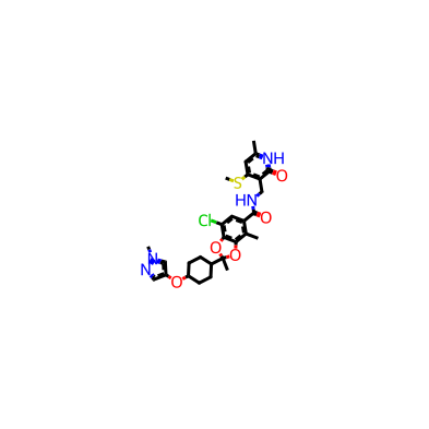 CSc1cc(C)[nH]c(=O)c1CNC(=O)c1cc(Cl)c2c(c1C)OC(C)(C1CCC(Oc3cnn(C)c3)CC1)O2